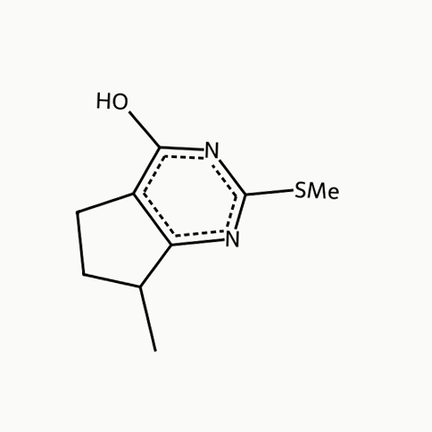 CSc1nc(O)c2c(n1)C(C)CC2